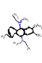 CCN(C)c1c2ccc(C)cc2c(N(C)CC)c2cc(C)c(C)cc12